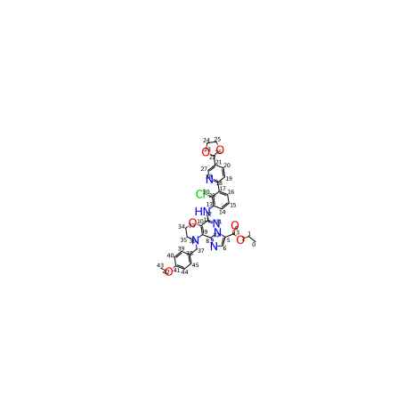 CCOC(=O)c1cnc2c3c(c(Nc4cccc(-c5ccc(C6OCCO6)cn5)c4Cl)nn12)OCCN3Cc1ccc(OC)cc1